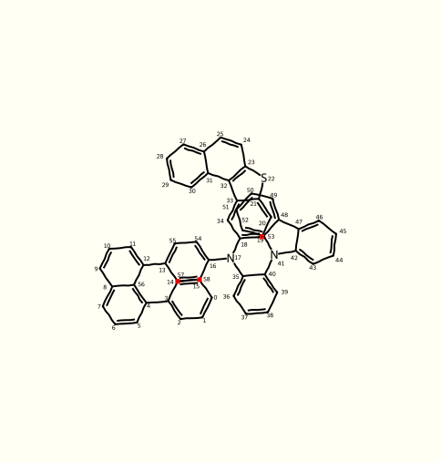 c1ccc(-c2cccc3cccc(-c4ccc(N(c5ccc6sc7ccc8ccccc8c7c6c5)c5ccccc5-n5c6ccccc6c6ccccc65)cc4)c23)cc1